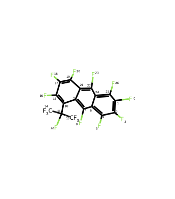 Fc1c(F)c(F)c2c(F)c3c(C(F)(C(F)(F)F)C(F)(F)F)c(F)c(F)c(F)c3c(F)c2c1F